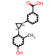 Cc1cc(O)ccc1[C@H]1C[C@H]1c1cccc(C(=O)O)c1